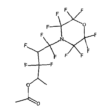 CC(=O)OC(C)C(F)(F)C(F)C(F)(F)N1C(F)(F)C(F)(F)OC(F)(F)C1(F)F